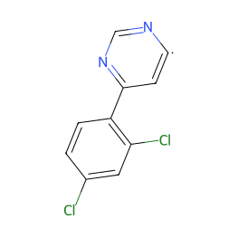 Clc1ccc(-c2c[c]ncn2)c(Cl)c1